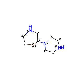 C1CN(C2CNCCS2)CCN1